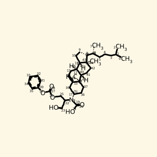 CC(C)CCC[C@@H](C)[C@H]1CC[C@H]2[C@@H]3CC=C4C[C@@H](N(C(=O)O)C(CO)COC(=O)Oc5ccccc5)CC[C@]4(C)[C@H]3CC[C@]12C